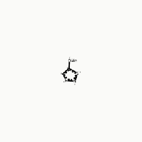 COc1[c]nns1